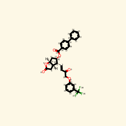 O=C(C=C[C@@H]1[C@H]2CC(=O)O[C@H]2C[C@H]1OC(=O)c1ccc(-c2ccccc2)cc1)COc1cccc(C(F)(F)F)c1